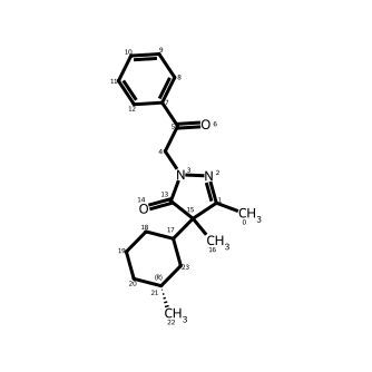 CC1=NN(CC(=O)c2ccccc2)C(=O)C1(C)C1CCC[C@@H](C)C1